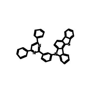 c1ccc(-c2cc(-c3ccccc3)nc(-c3cccc(-n4c5ccccc5c5c6sc7ccccc7c6ccc54)c3)n2)cc1